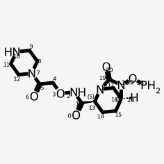 O=C(NOCC(=O)N1CCNCC1)[C@@H]1CC[C@H]2CN1C(=O)N2OP